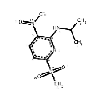 CC(C)Nc1nc(S(C)(=O)=O)ccc1[N+](=O)[O-]